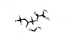 C=C(C)C(=O)OC(F)(F)C(F)CC(F)(F)F.CCO